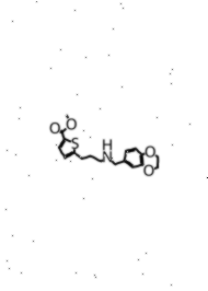 COC(=O)c1ccc(CCCNCc2ccc3c(c2)OCCO3)s1